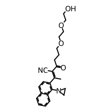 C/C(=C(/C#N)C(=O)CCCOCCOCCO)c1ccc2ccccc2c1N1CC1